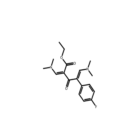 CCOC(=O)C(=CN(C)C)C(=O)C(=CN(C)C)c1ccc(F)cc1